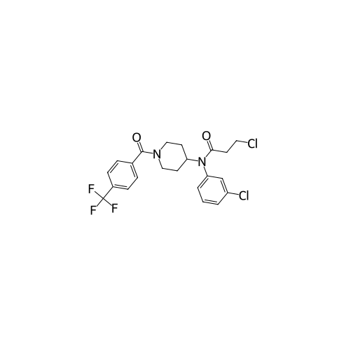 O=C(c1ccc(C(F)(F)F)cc1)N1CCC(N(C(=O)CCCl)c2cccc(Cl)c2)CC1